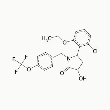 CCOc1cccc(Cl)c1C1CC(O)C(=O)N1Cc1ccc(OC(F)(F)F)cc1